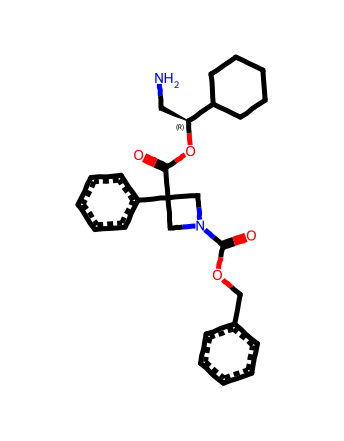 NC[C@H](OC(=O)C1(c2ccccc2)CN(C(=O)OCc2ccccc2)C1)C1CCCCC1